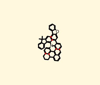 CC1(C)c2ccccc2-c2c(N(c3ccccc3C3=c4c(C5CCCCC5)cccc4=CCC3)c3ccccc3-c3ccc4c(c3)oc3ccccc34)cccc21